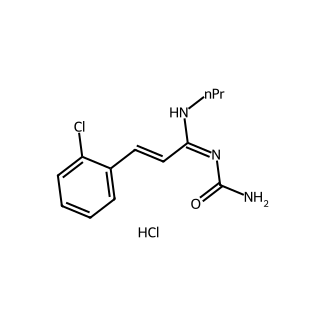 CCCNC(/C=C/c1ccccc1Cl)=N/C(N)=O.Cl